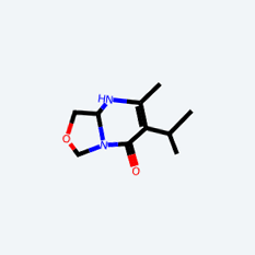 CC1=C(C(C)C)C(=O)N2COCC2N1